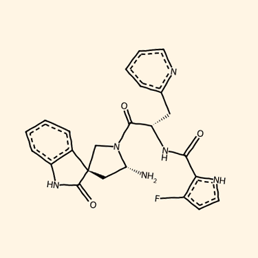 N[C@@H]1C[C@@]2(CN1C(=O)[C@H](Cc1ccccn1)NC(=O)c1[nH]ccc1F)C(=O)Nc1ccccc12